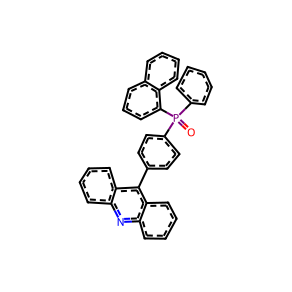 O=P(c1ccccc1)(c1ccc(-c2c3ccccc3nc3ccccc23)cc1)c1cccc2ccccc12